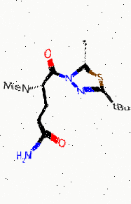 CN[C@@H](CCC(N)=O)C(=O)N1N=C(C(C)(C)C)S[C@H]1C